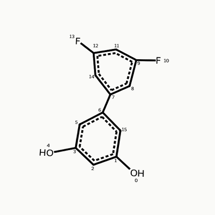 Oc1cc(O)cc(-c2cc(F)cc(F)c2)c1